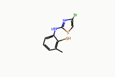 Cc1cccc(Nc2nc(Br)cs2)c1S